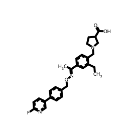 CCc1cc(C(C)=NOCc2ccc(-c3ccc(F)nc3)cc2)ccc1CN1CCC(C(=O)O)C1